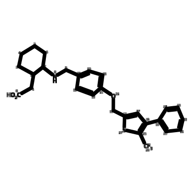 O=C(O)CC1CCCCC1NCc1ccc(OCc2cc(-c3ccccc3)c(C(F)(F)F)s2)cc1